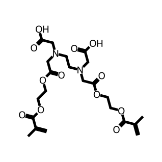 C=C(C)C(=O)OCCOC(=O)CN(CCN(CC(=O)O)CC(=O)OCCOC(=O)C(=C)C)CC(=O)O